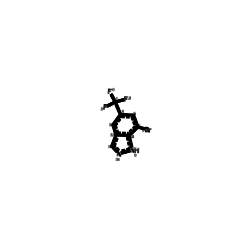 FC(F)(F)c1cc(Br)c2[nH]ncc2c1